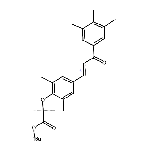 Cc1cc(C(=O)/C=C/c2cc(C)c(OC(C)(C)C(=O)OC(C)(C)C)c(C)c2)cc(C)c1C